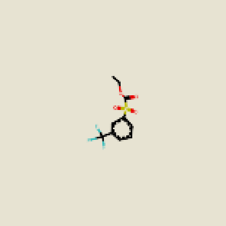 CCOC(=O)S(=O)(=O)c1cccc(C(F)(F)F)c1